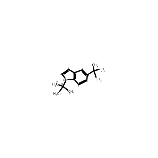 CC(C)(C)c1ccc2c(ccn2C(C)(C)C)c1